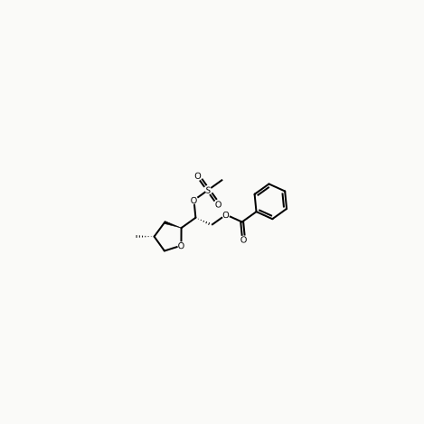 C[C@H]1CO[C@H]([C@@H](COC(=O)c2ccccc2)OS(C)(=O)=O)C1